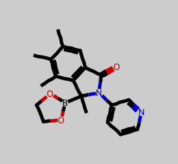 Cc1cc2c(c(C)c1C)C(C)(B1OCCO1)N(c1cccnc1)C2=O